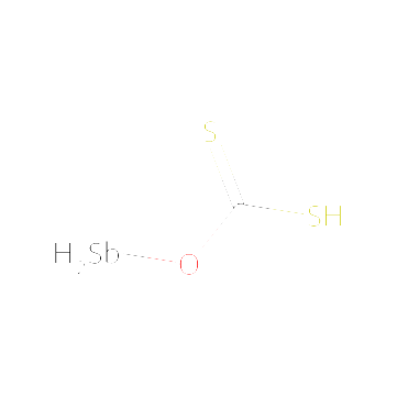 S=C(S)[O][SbH2]